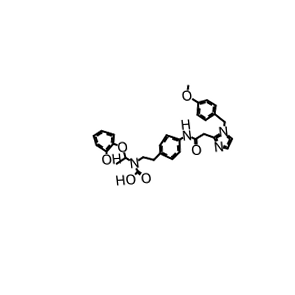 COc1ccc(Cn2ccnc2CC(=O)Nc2ccc(CCN(C(=O)O)C(C)Oc3ccccc3O)cc2)cc1